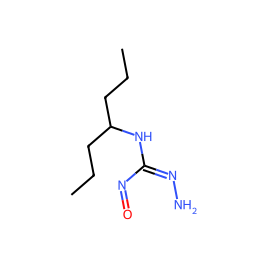 CCCC(CCC)NC(N=O)=NN